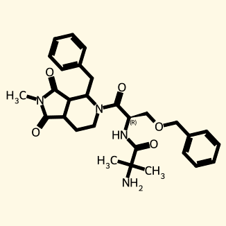 CN1C(=O)C2CCN(C(=O)[C@@H](COCc3ccccc3)NC(=O)C(C)(C)N)C(Cc3ccccc3)C2C1=O